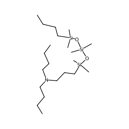 CCCCN(CCCC)CCC[Si](C)(C)O[Si](C)(C)O[Si](C)(C)CCCC